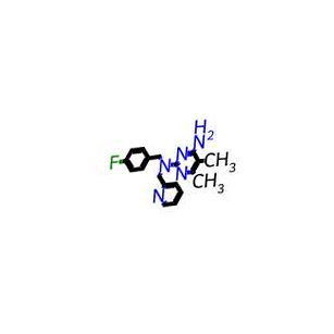 Cc1nc(N(Cc2ccc(F)cc2)Cc2ccccn2)nc(N)c1C